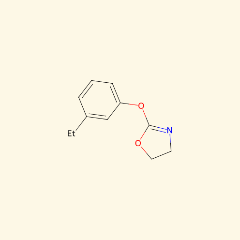 CCc1cccc(OC2=NCCO2)c1